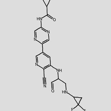 N#Cc1ncc(-c2cnc(NC(=O)C3CC3)cn2)cc1NC(C=O)CNC1CC1(F)F